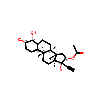 C#C[C@@]1(O)[C@H](OC(C)=O)C[C@H]2[C@@H]3CCC4[C@@H](O)[C@H](O)CC[C@]4(C)[C@H]3CC[C@@]21C